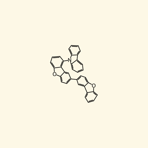 c1ccc2c(c1)oc1ccc(-c3ccc4oc5cccc(-n6c7ccccc7c7ccccc76)c5c4c3)cc12